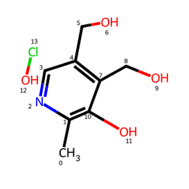 Cc1ncc(CO)c(CO)c1O.OCl